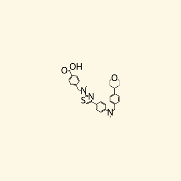 CN(Cc1ccc(C2CCOCC2)cc1)c1ccc(-c2csc(N(C)Cc3ccc(C(=O)O)cc3)n2)cc1